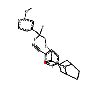 COc1cc(C(F)(F)COCC(=O)N2CC3CCC(C2)N3c2ccc(C#N)cn2)ccn1